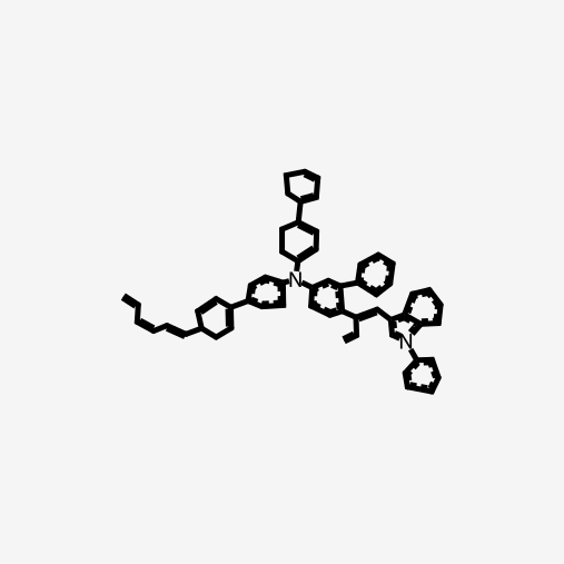 C=C/C=C\C=C\C1C=CC(c2ccc(N(C3=CC=C(C4=CC=CCC4)CC3)c3ccc(/C(C=C)=C/c4cn(-c5ccccc5)c5ccccc45)c(-c4ccccc4)c3)cc2)=CC1